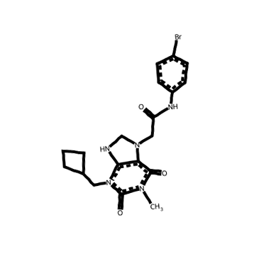 Cn1c(=O)c2c(n(CC3CCC3)c1=O)NCN2CC(=O)Nc1ccc(Br)cc1